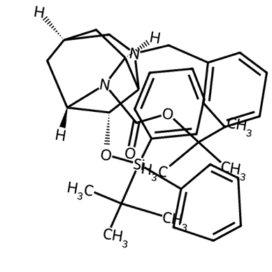 CC(C)(C)OC(=O)N1[C@H]2C[C@@H]3C[C@H]1[C@@H](O[Si](c1ccccc1)(c1ccccc1)C(C)(C)C)C2N(Cc1ccccc1)C3